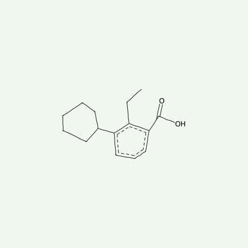 CCc1c(C(=O)O)cccc1C1CCCCC1